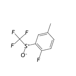 Cc1ccc(F)c([S+]([O-])C(F)(F)F)c1